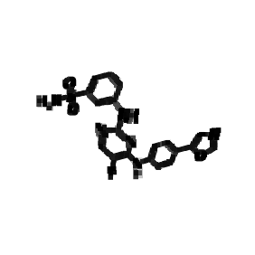 NS(=O)(=O)c1cccc(Nc2ncc(F)c(Nc3ccc(-c4cnco4)cc3)n2)c1